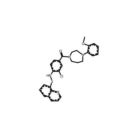 COc1ccccc1N1CCCN(C(=O)c2ccc(NSc3cccc4cccnc34)c(Cl)c2)CC1